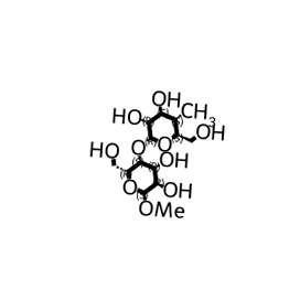 CO[C@H]1O[C@H](CO)[C@@H](O[C@H]2O[C@H](CO)[C@@H](C)[C@H](O)[C@H]2O)[C@H](O)[C@H]1O